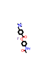 CC(=O)Nc1ccc(OC(=O)c2ccc(C[N+](C)(C)C)cc2)cc1.[I-]